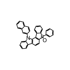 O=P1(c2ccccc2)c2ccccc2-c2c1ccc1c3ccccc3n(-c3ccc4ccccc4c3)c21